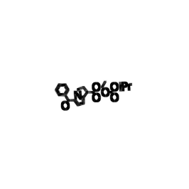 CC(C)OC(=O)OC(C)OC(=O)C1CCn2c(C(=O)c3ccccc3)ccc21